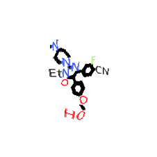 CCn1c(N2CCC(N(C)C)CC2)nc(-c2ccc(C#N)c(F)c2)c(-c2ccc(OCCO)cc2)c1=O